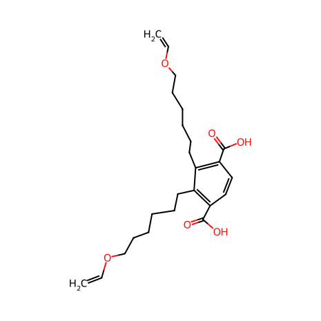 C=COCCCCCCc1c(C(=O)O)ccc(C(=O)O)c1CCCCCCOC=C